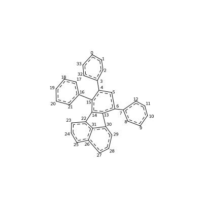 c1ccc(-c2cc(-c3ccccc3)c3c(c2-c2ccccc2)-c2cccc4cccc-3c24)cc1